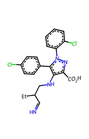 CCC(C=N)CNc1c(C(=O)O)nn(-c2ccccc2Cl)c1-c1ccc(Cl)cc1